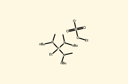 CCCCN(C)[P+](CC)(N(C)CCCC)N(C)CCCC.CCOS(=O)(=O)[O-]